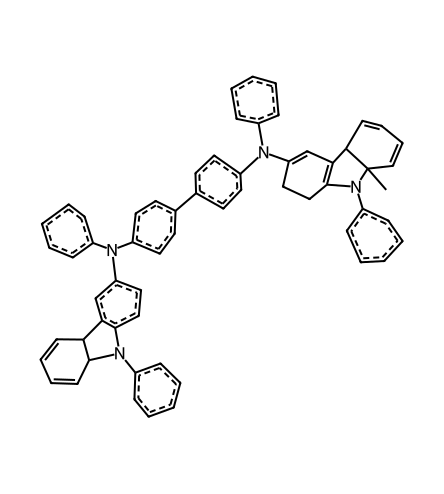 CC12C=CC=CC1C1=C(CCC(N(c3ccccc3)c3ccc(-c4ccc(N(c5ccccc5)c5ccc6c(c5)C5C=CC=CC5N6c5ccccc5)cc4)cc3)=C1)N2c1ccccc1